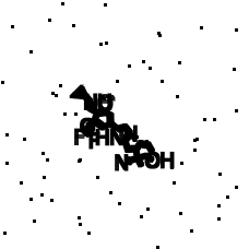 C/C=C\C(=C/c1ncc(-c2cc(OC)c(CNC3CC3)c(OC(F)F)c2)[nH]1)C(C)(C#N)CO